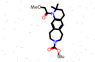 COCC(=O)N1c2cc3c(cc2CCC1(C)C)CCN(C(=O)OC(C)(C)C)CC3